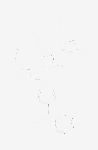 C=CC[n+]1ccn(C)c1.C=CC[n+]1ccn(C)c1.C=CC[n+]1ccn(C)c1.[O-]P([O-])([O-])=S(c1ccccc1)c1ccccc1